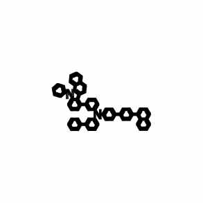 c1ccc(-c2cccc(N(c3ccc(-c4ccc(-c5cccc6ccccc56)cc4)cc3)c3cccc(-c4cccc5c4c4ccc6ccccc6c4n5-c4ccccc4)c3)c2)cc1